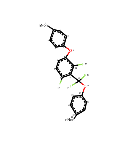 CCCCCCCCCc1ccc(Oc2[c]cc(F)c(C(F)(F)Oc3ccc(CCCCCCCCC)cc3)c2F)cc1